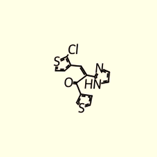 O=C(C(=Cc1ccsc1Cl)c1ncc[nH]1)c1ccsc1